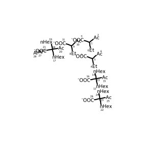 CCC(C(C)=O)C(=O)[O-].CCC(C(C)=O)C(=O)[O-].CCC(C(C)=O)C(=O)[O-].CCCCCCC(CCCCCC)(C(C)=O)C(=O)[O-].CCCCCCC(CCCCCC)(C(C)=O)C(=O)[O-].CCCCCCC(CCCCCC)(C(C)=O)C(=O)[O-].[Al+3].[Al+3]